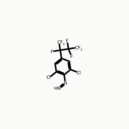 N=Nc1c(Cl)cc(C(F)(C(F)(F)F)C(F)(F)C(F)(F)F)cc1Cl